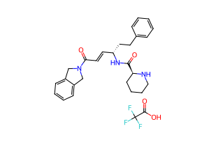 O=C(N[C@H](C=CC(=O)N1Cc2ccccc2C1)CCc1ccccc1)[C@@H]1CCCCN1.O=C(O)C(F)(F)F